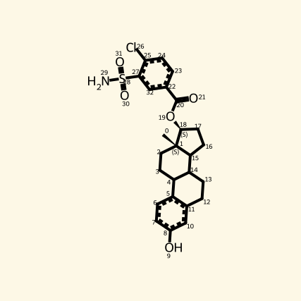 C[C@]12CCC3c4ccc(O)cc4CCC3C1CC[C@@H]2OC(=O)c1ccc(Cl)c(S(N)(=O)=O)c1